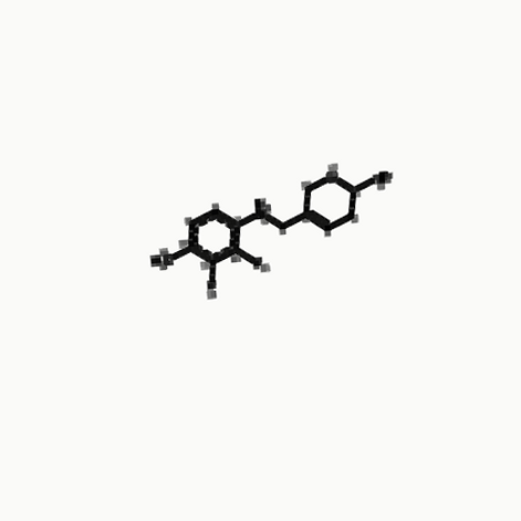 CCCC1CC=C(C[SiH2]c2ccc(C)c(F)c2F)CO1